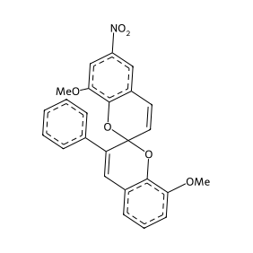 COc1cccc2c1OC1(C=Cc3cc([N+](=O)[O-])cc(OC)c3O1)C(c1ccccc1)=C2